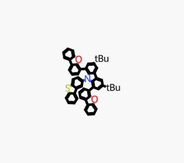 CC(C)(C)c1cc(-c2cccc3c2oc2ccccc23)c2c(c1)c1cc(C(C)(C)C)cc(-c3cccc4c3oc3ccccc34)c1n2-c1ccc2sc3ccccc3c2c1